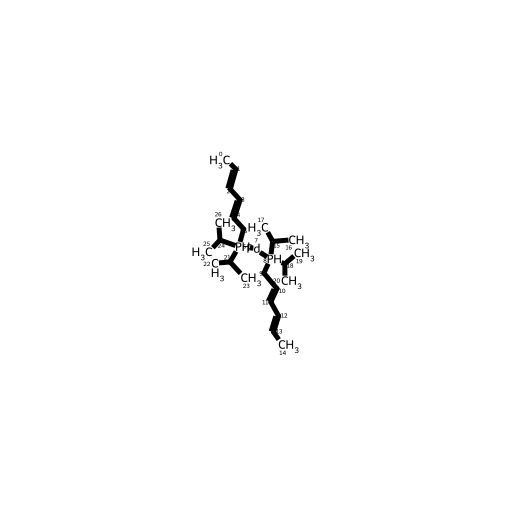 CC=CC=CC[PH]([Pd][PH](CC=CC=CC)(C(C)C)C(C)C)(C(C)C)C(C)C